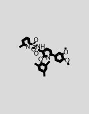 COc1ccc(-c2ccc(C(=O)NS(=O)(=O)c3cccc(C)n3)c(Oc3c(C)cc(C)cc3C)n2)cc1OC